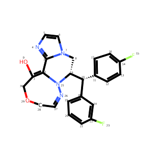 O/C1=C2\c3nccn3C[C@H]([C@H](c3ccc(F)cc3)c3cccc(F)c3)N2/N=C\COC1